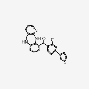 O=C(c1ccc(-c2ccsc2)cc1Cl)c1cccc2c1Nc1ncccc1CN2